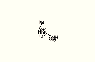 Cn1cc(-c2cccc(C(=O)Nc3nc(CCCC(=O)NN4CCCC4)cn3-c3ccccc3)c2)cn1